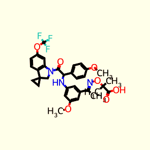 COc1ccc(C(Nc2cc(OC)cc(C(C)=NOC(C)(C)C(=O)O)c2)C(=O)N2CC3(CC3)c3ccc(OC(F)(F)F)cc32)cc1